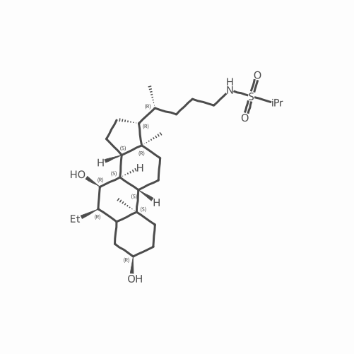 CC[C@@H]1C2C[C@H](O)CC[C@]2(C)[C@H]2CC[C@]3(C)[C@@H]([C@H](C)CCCNS(=O)(=O)C(C)C)CC[C@H]3[C@@H]2[C@@H]1O